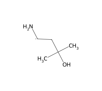 CC(C)(O)C[CH]N